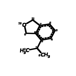 CC(C)c1cccc2c1COC2